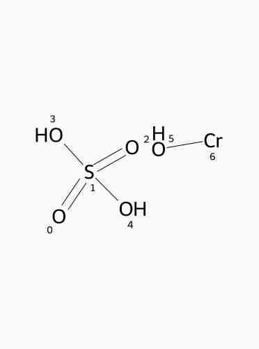 O=S(=O)(O)O.[OH][Cr]